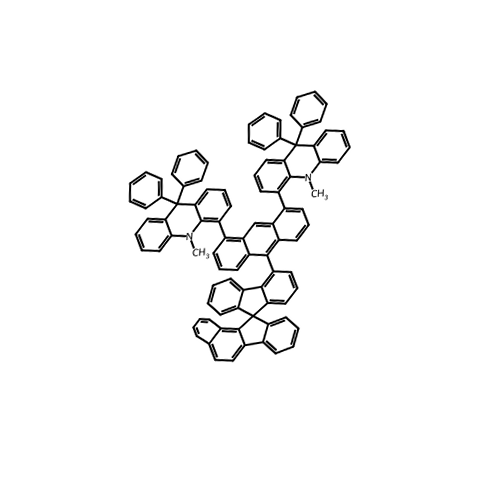 CN1c2ccccc2C(c2ccccc2)(c2ccccc2)c2cccc(-c3cccc4c(-c5cccc6c5-c5ccccc5C65c6ccccc6-c6ccc7ccccc7c65)c5cccc(-c6cccc7c6N(C)c6ccccc6C7(c6ccccc6)c6ccccc6)c5cc34)c21